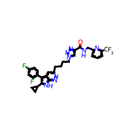 O=C(NCc1cccc(C(F)(F)F)n1)c1cn(CCCCc2cc3c(-c4ccc(F)cc4F)c(C4CC4)[nH]c3nn2)nn1